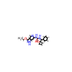 CCOc1n[nH]c2cc(NC(=O)N[C@@H](c3ccccc3)C3(O)CCC3)ncc12